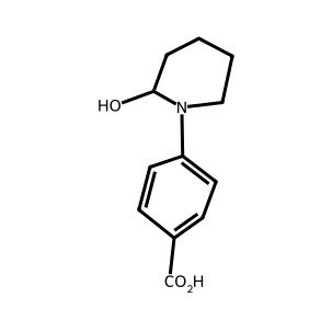 O=C(O)c1ccc(N2CCCCC2O)cc1